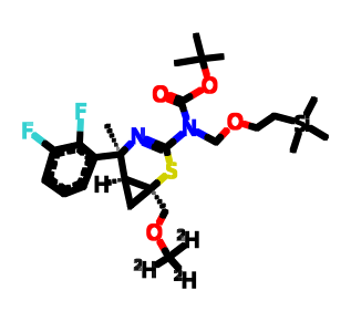 [2H]C([2H])([2H])OC[C@]12C[C@H]1[C@@](C)(c1cccc(F)c1F)N=C(N(COCC[Si](C)(C)C)C(=O)OC(C)(C)C)S2